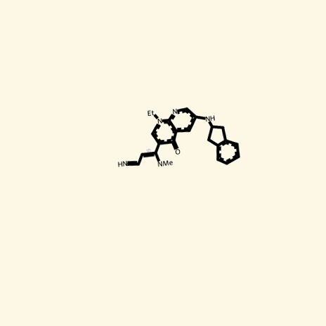 CCn1cc(/C(=C/C=N)NC)c(=O)c2cc(NC3Cc4ccccc4C3)cnc21